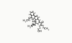 CCCN(CCCO)C(=O)C1=CC2=CC=C(c3ccccc3C(=O)OCC)CC2NC(N=NN)C1